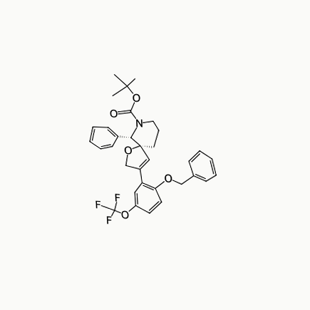 CC(C)(C)OC(=O)N1CCC[C@@]2(C=C(c3cc(OC(F)(F)F)ccc3OCc3ccccc3)CO2)[C@@H]1c1ccccc1